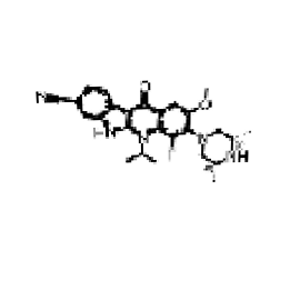 COc1cc2c(=O)c3c4ccc(C#N)cc4[nH]c3n(C(C)C)c2c(F)c1N1C[C@@H](C)N[C@@H](C)C1